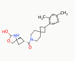 Cc1ccc(C2CC3(CCN(C(=O)[C@H]4C[C@]5(COC(O)N5)C4)CC3)C2)c(C)c1